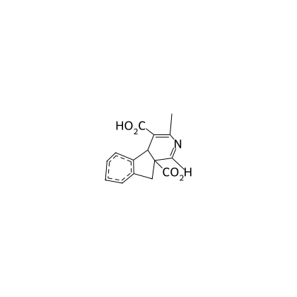 CC1=NC(C)=C(C(=O)O)C2c3ccccc3CC12C(=O)O